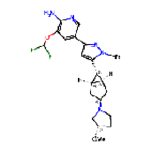 CO[C@H]1CCN([C@H]2C[C@@H]3[C@H](C2)[C@H]3c2cc(-c3cnc(N)c(OC(F)F)c3)nn2C(C)C)C1